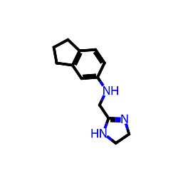 c1cc2c(cc1NCC1=NCCN1)CCC2